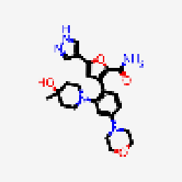 CC1(O)CCN(c2cc(N3CCOCC3)ccc2-c2cc(-c3cn[nH]c3)oc2C(N)=O)CC1